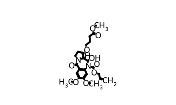 C=CCOC(=O)N1c2cc(OC)c(OC)cc2C(=O)N2CC[C@H](OCCCC(=O)OC)[C@H]2C1O